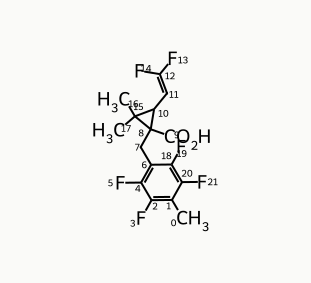 Cc1c(F)c(F)c(CC2(C(=O)O)C(C=C(F)F)C2(C)C)c(F)c1F